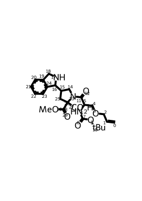 C=CCOCC(NC(=O)OC(C)(C)C)C(=O)N1CC(C2NCc3ccccc32)CC1(C(=O)O)C(=O)OC